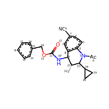 CC(=O)N1c2ccc(C#N)cc2C(NC(=O)OCc2ccccc2)[C@@H](C)C1C1CC1